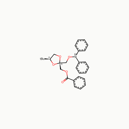 CC(C)(C)[C@H]1CO[C@](COC(=O)c2ccccc2)(CO[SiH](c2ccccc2)c2ccccc2)O1